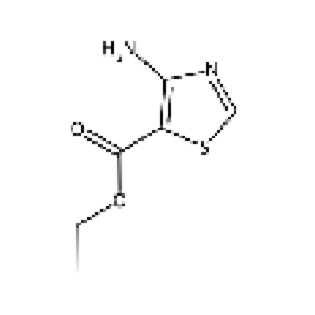 CCOC(=O)c1s[c]nc1N